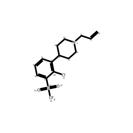 C=CCN1CCC(c2cccc(S(=O)(=O)C(F)(F)F)c2Cl)CC1